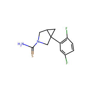 NC(=S)N1CC2CC2(c2cc(F)ccc2F)C1